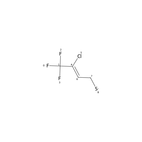 FC(F)(F)C(Cl)=CC[S]